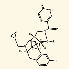 O=C(c1c[nH]c(=O)cn1)N1C[C@H]2C[C@@]34CC[C@@H]1[C@@H]2[C@@]31CCN(CC2CC2)[C@@H]4Cc2ccc(O)cc21